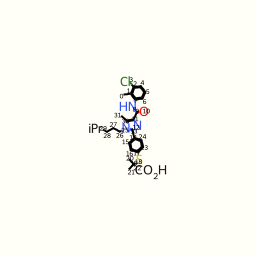 Cc1c(Cl)cccc1NC(=O)c1nc(-c2ccc(SC(C)(C)C(=O)O)cc2)n(CCCC(C)C)c1C